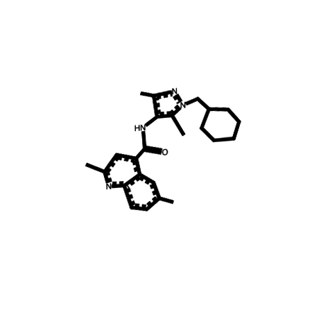 Cc1ccc2nc(C)cc(C(=O)Nc3c(C)nn(CC4CCCCC4)c3C)c2c1